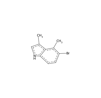 Cc1c[nH]c2ccc(Br)c(C)c12